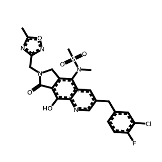 Cc1nc(CN2Cc3c(c(O)c4ncc(Cc5ccc(F)c(Cl)c5)cc4c3N(C)S(C)(=O)=O)C2=O)no1